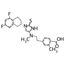 Cc1cc(CCN(C)c2cn([C@H]3CCc4c(F)cc(F)cc4C3)c(=S)[nH]2)ccc1C(=O)O